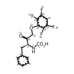 O=C(O)N[C@@H](Cc1ccccc1)C(=O)COc1c(F)c(F)cc(F)c1F